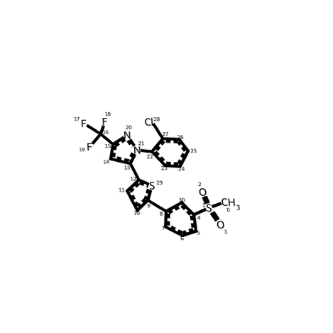 CS(=O)(=O)c1cccc(-c2ccc(-c3cc(C(F)(F)F)nn3-c3ccccc3Cl)s2)c1